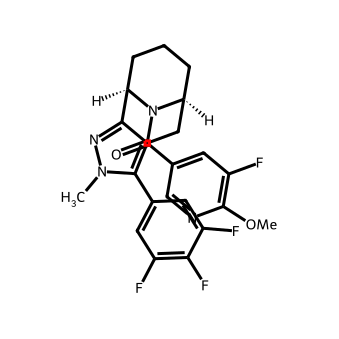 COc1ncc(C(=O)N2[C@H]3CCC[C@@H]2c2nn(C)c(-c4cc(F)c(F)c(F)c4)c2C3)cc1F